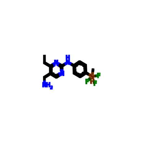 CCc1nc(Nc2ccc([SH](C)(F)(F)F)cc2)ncc1CN